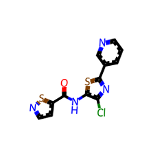 O=C(Nc1sc(-c2cccnc2)nc1Cl)c1ccns1